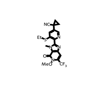 CCSc1cc(C2(C#N)CC2)cnc1-c1nc2cc(C(F)(F)F)n(OC)c(=O)c2n1C